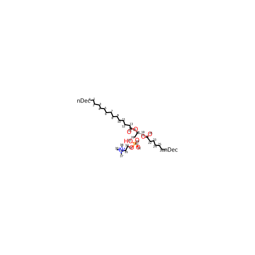 CCCCCCCCCCCCCCCCCCCCCCCC(=O)O[C@H](COC(=O)CCCCCCCCCCCCCCC)COP(=O)(O)OCC[N+](C)(C)C